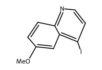 COc1ccc2nccc(I)c2c1